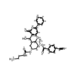 CCCNC(=O)O[C@@H]1CC2C(O)c3c(cc(-c4cccnc4)oc3=O)O[C@@]2(C)[C@H](OC(=O)c2ccc(C#N)cc2)C1